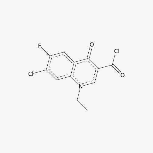 CCn1cc(C(=O)Cl)c(=O)c2cc(F)c(Cl)cc21